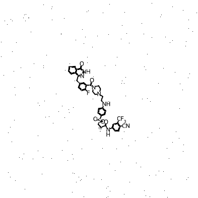 C[C@H](CS(=O)(=O)c1ccc(NCCN2CCN(C(=O)c3cc(Cc4n[nH]c(=O)c5ccccc45)ccc3F)CC2)cc1)C(=O)Nc1ccc(C#N)c(C(F)(F)F)c1